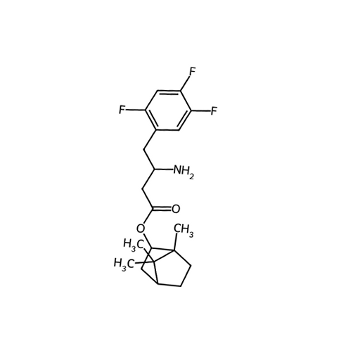 CC1(C)C2CCC1(C)C(OC(=O)CC(N)Cc1cc(F)c(F)cc1F)C2